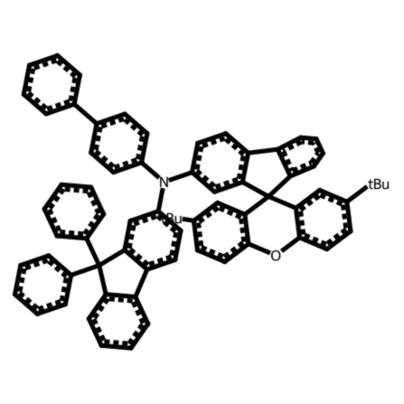 CC(C)(C)c1ccc2c(c1)C1(c3cc(C(C)(C)C)ccc3O2)c2ccccc2-c2ccc(N(c3ccc(-c4ccccc4)cc3)c3ccc4c(c3)C(c3ccccc3)(c3ccccc3)c3ccccc3-4)cc21